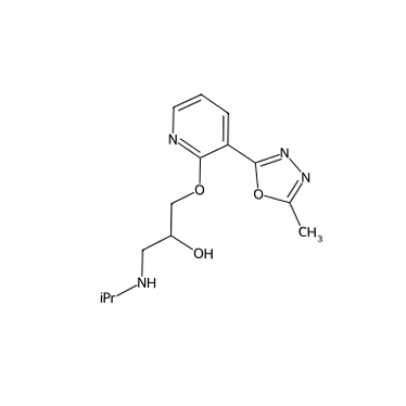 Cc1nnc(-c2cccnc2OCC(O)CNC(C)C)o1